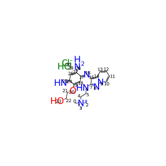 C[N+](C)(C)CCNc1nn2ccccc2c1/N=C1\C=C(OCCO)C(=N)C=C1N.Cl.[Cl-]